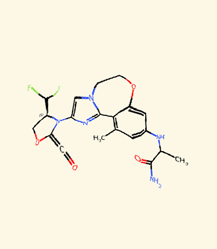 Cc1cc(NC(C)C(N)=O)cc2c1-c1nc(N3C(=C=O)OC[C@H]3C(F)F)cn1CCO2